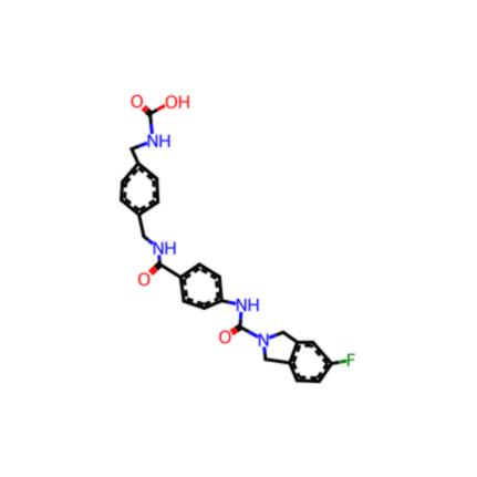 O=C(O)NCc1ccc(CNC(=O)c2ccc(NC(=O)N3Cc4ccc(F)cc4C3)cc2)cc1